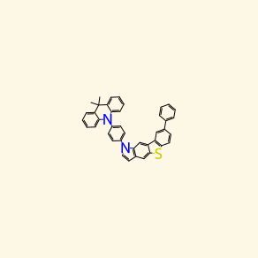 CC1(C)c2ccccc2N(c2ccc(-n3ccc4cc5sc6ccc(-c7ccccc7)cc6c5cc43)cc2)c2ccccc21